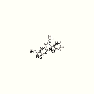 CC(C)c1nsc2ccc(CC(C)c3noc4cccnc34)nc12